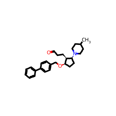 CC1CCN([C@@H]2CC[C@@H](OCc3ccc(-c4ccccc4)cc3)[C@H]2CCC=O)CC1